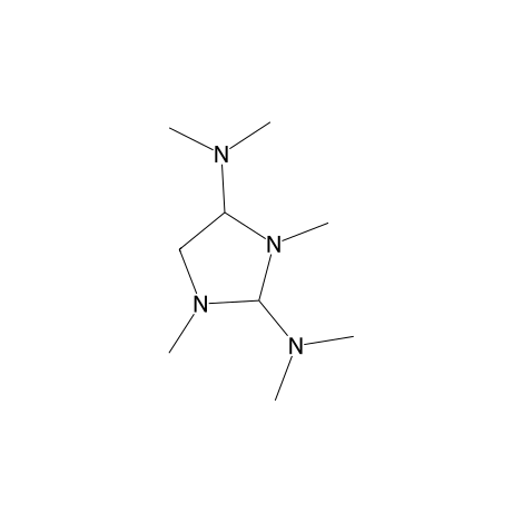 CN(C)C1CN(C)C(N(C)C)N1C